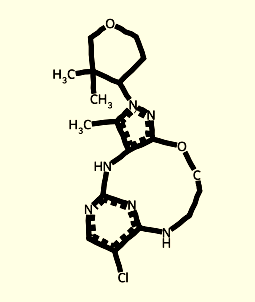 Cc1c2c(nn1C1CCOCC1(C)C)OCCCNc1nc(ncc1Cl)N2